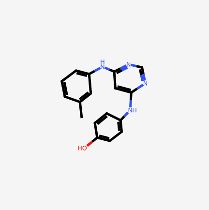 Cc1cccc(Nc2cc(Nc3ccc(O)cc3)ncn2)c1